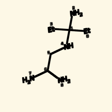 CCC(N)(CC)NCC(N)N